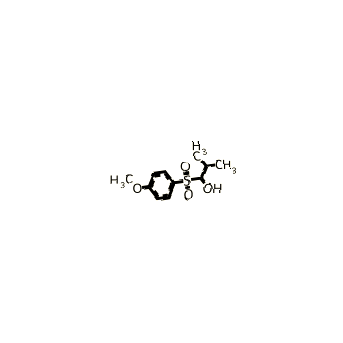 COc1ccc(S(=O)(=O)C(O)C(C)C)cc1